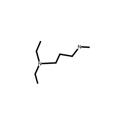 CCN(CC)CCC[N]C